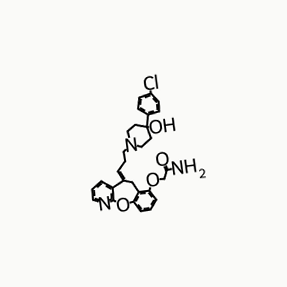 NC(=O)COc1cccc2c1CC(=CCCN1CCC(O)(c3ccc(Cl)cc3)CC1)c1cccnc1O2